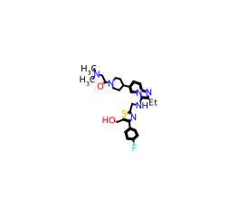 CCc1nc2ccc(C3CCN(C(=O)CN(C)C)CC3)cn2c1NCc1nc(-c2ccc(F)cc2)c(CO)s1